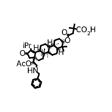 CC(=O)O[C@@H](CNCc1ccccc1)[C@@]12CC[C@]3(C)[C@H](CC[C@@H]4[C@@]5(C)CC[C@H](OC(=O)CC(C)(C)C(=O)O)C(C)(C)[C@@H]5CC[C@]43C)C1=C(C(C)C)C(=O)C2